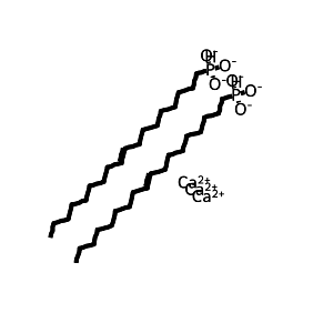 CCCCCCCCC=CCCCCCCCC[PH]([O-])([O-])[O-].CCCCCCCCC=CCCCCCCCC[PH]([O-])([O-])[O-].[Ca+2].[Ca+2].[Ca+2]